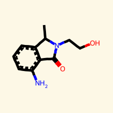 CC1c2cccc(N)c2C(=O)N1CCO